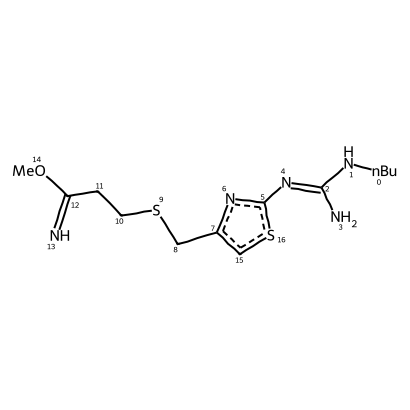 CCCCN/C(N)=N/c1nc(CSCCC(=N)OC)cs1